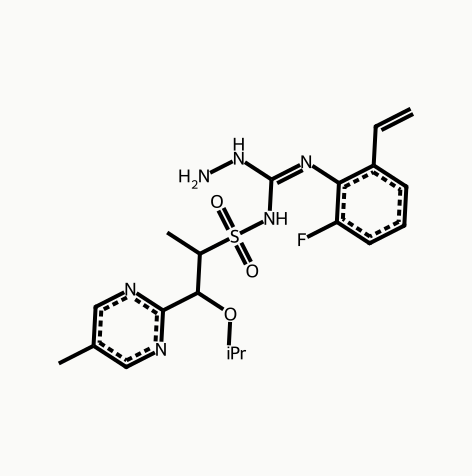 C=Cc1cccc(F)c1/N=C(/NN)NS(=O)(=O)C(C)C(OC(C)C)c1ncc(C)cn1